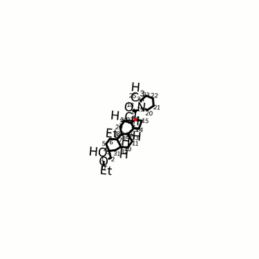 CCOC[C@@]1(O)CC[C@@]2(CC)[C@H](CC[C@H]3[C@@H]4CC[C@H](C(=O)N5CCCC[C@H]5C)[C@@]4(C)CC[C@@H]32)C1